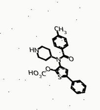 Cc1ccc(C(=O)N(c2cc(-c3ccccc3)sc2OC(=O)O)C2CCNCC2)cc1